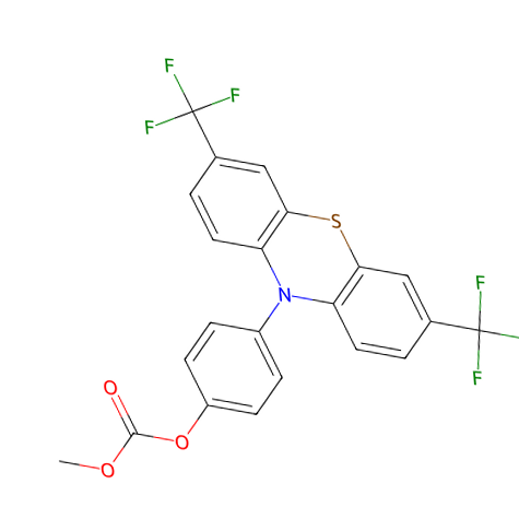 COC(=O)Oc1ccc(N2c3ccc(C(F)(F)F)cc3Sc3cc(C(F)(F)F)ccc32)cc1